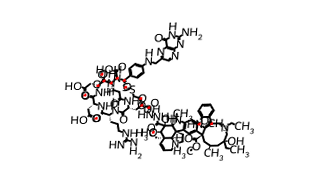 CCN1Cc2c([nH]c3ccccc23)[C@@](C(=O)OC)(c2cc3c(cc2OC)N(C)[C@H]2[C@@](O)(C(=O)NNC(=O)OCCSSC[C@H](NC(=O)[C@@H](CC(=O)O)NC(=O)[C@@H](CC(=O)O)NC(=O)[C@@H](CCCNC(=N)N)NC(=O)[C@@H](CC(=O)O)NC(=O)CC[C@@H](NC(=O)c4ccc(NCc5cnc6nc(N)[nH]c(=O)c6n5)cc4)C(=O)O)C(=O)O)[C@H](O)[C@]4(CC)C=CCN5CC[C@]32[C@@H]54)C[C@H](C)C[C@@](O)(CC)C1